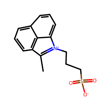 CC1=[N+](CCCS(=O)(=O)[O-])c2cccc3cccc1c23